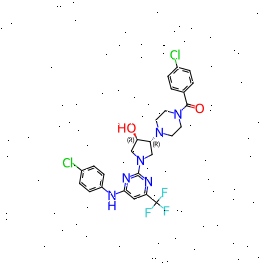 O=C(c1ccc(Cl)cc1)N1CCN([C@@H]2CN(c3nc(Nc4ccc(Cl)cc4)cc(C(F)(F)F)n3)C[C@H]2O)CC1